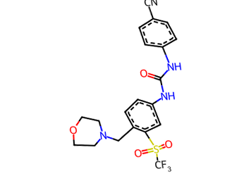 N#Cc1ccc(NC(=O)Nc2ccc(CN3CCOCC3)c(S(=O)(=O)C(F)(F)F)c2)cc1